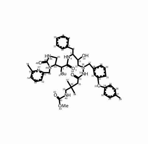 CCC(C)C(C(=O)NC(Cc1ccccc1)C(O)CN(Cc1cccc(Oc2ccc(C)cc2)c1)NC(=O)CC(C)(C)CNC(=O)OC)C1CNC(=O)N1Cc1cccc(C)n1